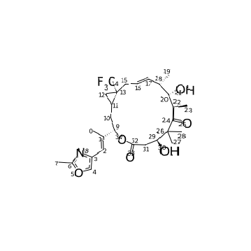 C/C(=C\c1coc(C)n1)[C@@H]1CC2CC2(C(F)(F)F)C/C=C/[C@H](C)[C@H](O)[C@@H](C)C(=O)C(C)(C)[C@@H](O)CC(=O)O1